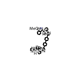 COO/C=N\[C@@H](C(=O)N1CCC[C@H]1c1ncc(-c2ccc(-c3ccc(-c4cnc([C@@H]5CCCN5C(=O)[C@@H](NC5=NCCN5)C(C)C)[nH]4)cc3)cc2)[nH]1)c1ccccc1